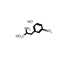 Cl.NC(Cc1cccc([N+](=O)[O-])c1)C(=O)O